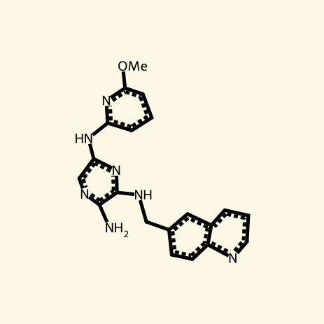 COc1cccc(Nc2cnc(N)c(NCc3ccc4ncccc4c3)n2)n1